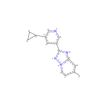 Cc1ccn2nc(-c3cncc(C4CC4)c3)nc2c1